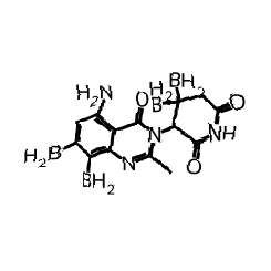 Bc1cc(N)c2c(=O)n(C3C(=O)NC(=O)CC3(B)B)c(C)nc2c1B